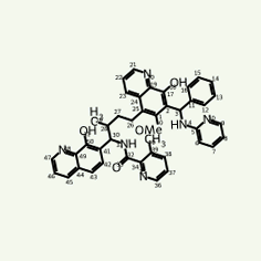 COc1c(C(Nc2ccccn2)c2ccccc2)c(O)c2ncccc2c1CCC(C)C(NC(=O)c1ncccc1C)c1ccc2cccnc2c1O